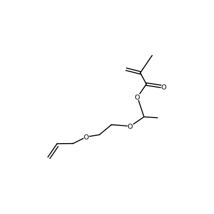 C=CCOCCOC(C)OC(=O)C(=C)C